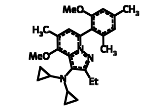 CCc1nn2c(-c3c(C)cc(C)cc3OC)cc(C)c(OC)c2c1N(C1CC1)C1CC1